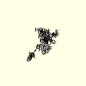 COC(=O)N[C@H](C(=O)N[C@@H](Cc1ccc(C#Cc2cnc(N3CC4CCC(C3)N4C3COC3)nc2)cc1)[C@H](CN(Cc1c(F)cc(-c2ccn(C(F)F)n2)cc1F)NC(=O)[C@@H](NC(=O)OC)C(C)(C)C(F)(F)F)OC(=O)CC(C)(C)c1c(CC(=O)N2C[C@H](OC)C[C@H]2C(=O)OC)cc(C)cc1OP(=O)(O)O)C(C)(C)C(F)(F)F